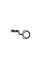 [N-]=[N+]=NCB1OCCCCO1